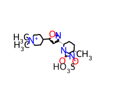 C[C@@]12CC[C@@H](c3cc(C4CC[N+](C)(C)CC4)on3)N(C1)C(=O)N2OS(=O)(=O)O